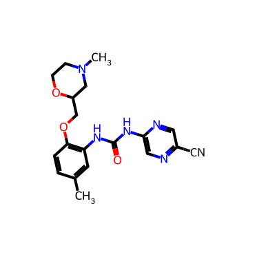 Cc1ccc(OCC2CN(C)CCO2)c(NC(=O)Nc2cnc(C#N)cn2)c1